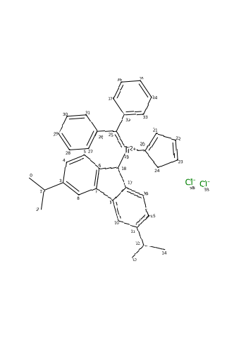 CC(C)c1ccc2c(c1)-c1cc(C(C)C)ccc1[CH]2[Ti+2]([C]1=CC=CC1)=[C](c1ccccc1)c1ccccc1.[Cl-].[Cl-]